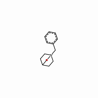 c1ccc(C[N+]23CCC(CC2)C[N]3)cc1